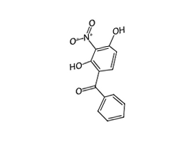 O=C(c1ccccc1)c1ccc(O)c([N+](=O)[O-])c1O